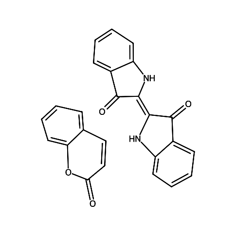 O=C1/C(=C2\Nc3ccccc3C2=O)Nc2ccccc21.O=c1ccc2ccccc2o1